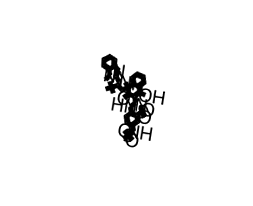 Cn1c(CNC2(CCC(C)(C)C)C(=O)C(C3=NS(=O)(=O)c4cc(NS(C)(=O)=O)ccc4N3)=C(O)c3ccccc32)nc2ccccc21